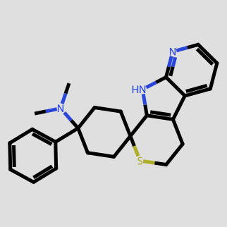 CN(C)C1(c2ccccc2)CCC2(CC1)SCCc1c2[nH]c2ncccc12